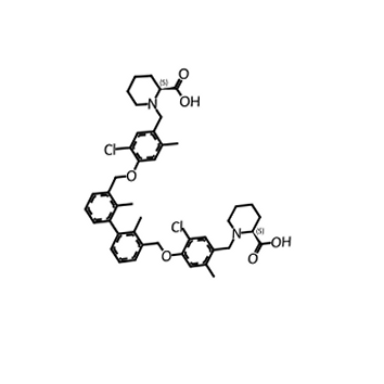 Cc1cc(OCc2cccc(-c3cccc(COc4cc(C)c(CN5CCCC[C@H]5C(=O)O)cc4Cl)c3C)c2C)c(Cl)cc1CN1CCCC[C@H]1C(=O)O